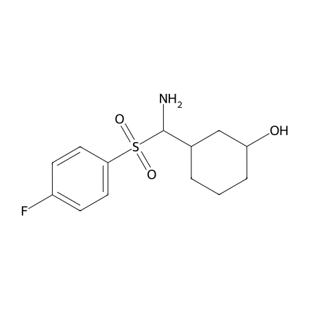 NC(C1CCCC(O)C1)S(=O)(=O)c1ccc(F)cc1